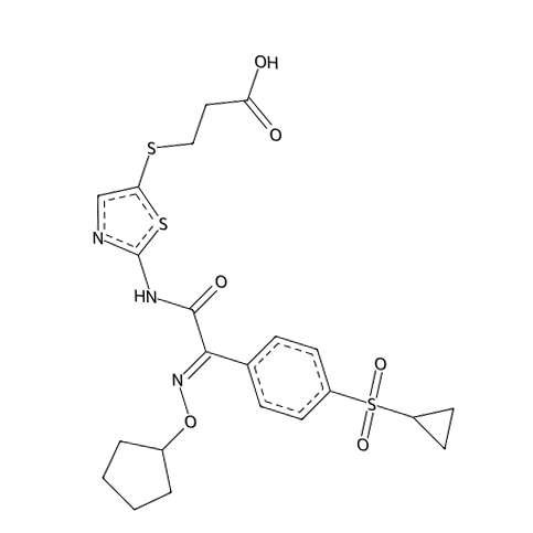 O=C(O)CCSc1cnc(NC(=O)/C(=N/OC2CCCC2)c2ccc(S(=O)(=O)C3CC3)cc2)s1